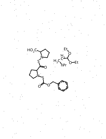 CCCC.CCOC(C)OCC.O=C(OCc1ccccc1)SN1CCCC1C(=O)SN1CCCC1C(=O)O